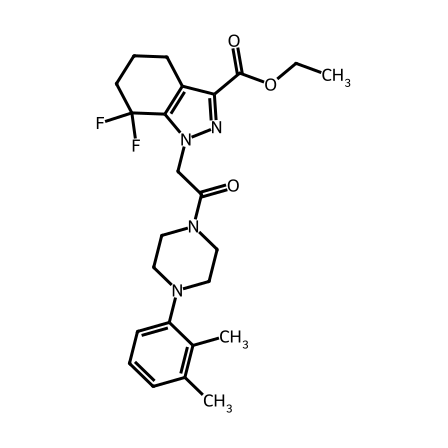 CCOC(=O)c1nn(CC(=O)N2CCN(c3cccc(C)c3C)CC2)c2c1CCCC2(F)F